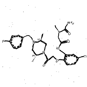 C[C@@H]1CN(Cc2ccc(F)cc2)[C@@H](C)CN1C(=O)COc1ccc(Cl)cc1NC(=O)CN(C)C(N)=O